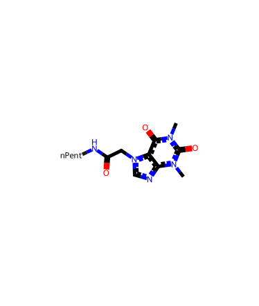 CCCCCNC(=O)Cn1cnc2c1c(=O)n(C)c(=O)n2C